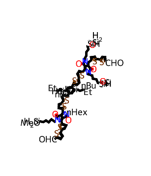 CCCCCCN1C(=O)C2=C(c3ccc(-c4ccc(C=O)s4)s3)N(CCCCC[SiH2]OC)C(=O)C2=C1c1ccc(-c2cc3c(s2)-c2cc4c(cc2[SiH]3CC(CC)CCCC)-c2sc(-c3ccc(C5=C6C(=O)N(CCCCC[SiH](C)O[SiH2]C)C(c7ccc(-c8ccc(C=O)s8)s7)=C6C(=O)N5CCCCC[SiH](C)O[Si](C)(C)C)s3)cc2[SiH]4CC(CC)CCCC)s1